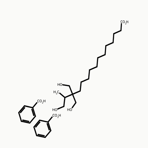 CC(CO)C(CO)(CO)CCCCCCCCCCCC(=O)O.O=C(O)c1ccccc1.O=C(O)c1ccccc1